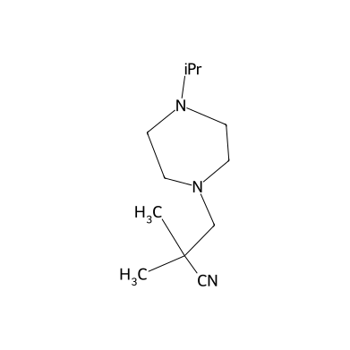 CC(C)N1CCN(CC(C)(C)C#N)CC1